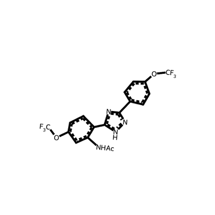 CC(=O)Nc1cc(OC(F)(F)F)ccc1-c1nc(-c2ccc(OC(F)(F)F)cc2)n[nH]1